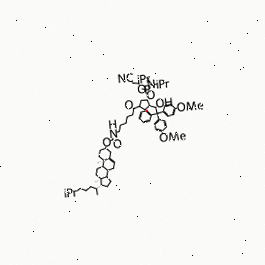 COc1ccc(C(c2ccccc2)(c2ccc(OC)cc2)C(O)C2CC(C(=O)CCCCCNC(=O)OC3CC[C@@]4(C)C(=CCC5C4CC[C@@]4(C)C5CC[C@@H]4C(C)CCCC(C)C)C3)CC2OP(OCCC#N)N(C(C)C)C(C)C)cc1